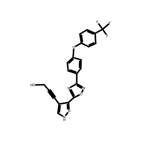 OCC#Cc1c[nH]nc1-c1nc(-c2ccc(Oc3ccc(C(F)(F)F)cc3)cc2)no1